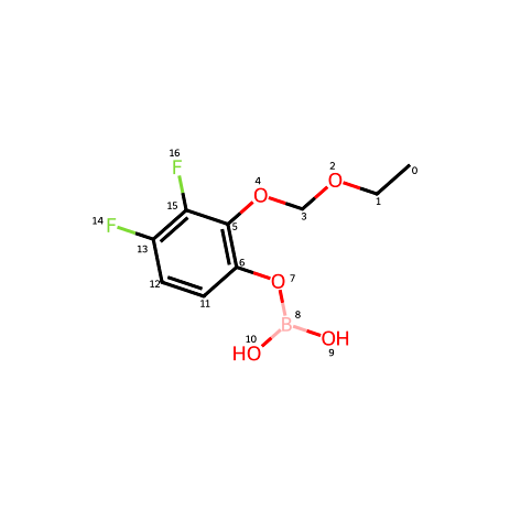 CCOCOc1c(OB(O)O)ccc(F)c1F